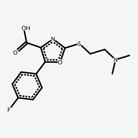 CN(C)CCSc1nc(C(=O)O)c(-c2ccc(F)cc2)o1